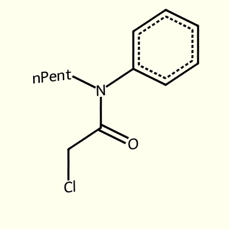 CCCCCN(C(=O)CCl)c1ccccc1